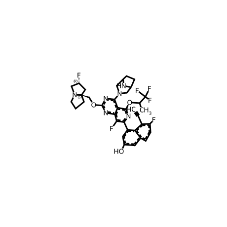 C#Cc1c(F)ccc2cc(O)cc(-c3nc(OC(C)C(F)(F)F)c4c(N5CC6CCC(C5)N6)nc(OC[C@@]56CCCN5C[C@H](F)C6)nc4c3F)c12